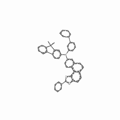 CC1(C)c2ccccc2-c2ccc(N(c3cccc(-c4ccccc4)c3)c3ccc4c(ccc5ccc6nc(-c7ccccc7)oc6c54)c3)cc21